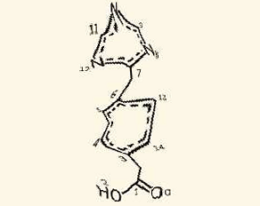 O=C(O)c1ccc(-c2ncncn2)cc1